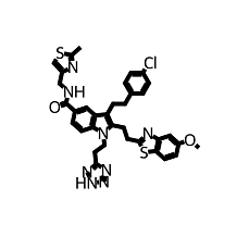 COc1ccc2sc(CCc3c(CCc4ccc(Cl)cc4)c4cc(C(=O)NCc5csc(C)n5)ccc4n3CCc3nn[nH]n3)nc2c1